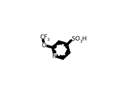 O=S(=O)(O)c1ccnc(OC(F)(F)F)c1